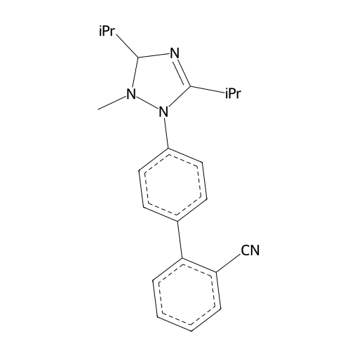 CC(C)C1=NC(C(C)C)N(C)N1c1ccc(-c2ccccc2C#N)cc1